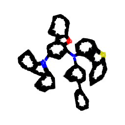 c1ccc(-c2ccc(N(c3cc(-n4c5ccccc5c5ccccc54)cc4c3oc3ccccc34)c3cccc4sc5ccccc5c34)cc2)cc1